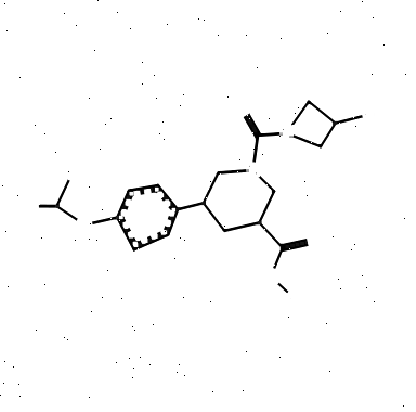 COC(=O)C1CC(c2ccc(OC(F)F)cc2)CN(C(=O)N2CC(O)C2)C1